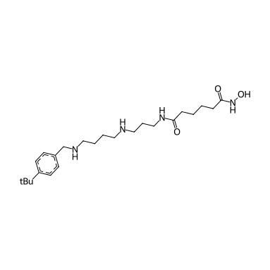 CC(C)(C)c1ccc(CNCCCCNCCCNC(=O)CCCCC(=O)NO)cc1